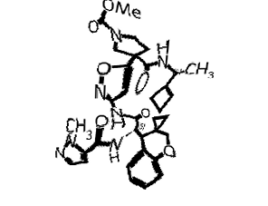 COC(=O)N1CCC(C(=O)N[C@@H](C)C2CCC2)(c2cc(NC(=O)[C@@H](NC(=O)c3ccnn3C)C3c4ccccc4OCC34CC4)no2)C1